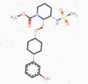 COC(=O)N1CCC[C@H](NS(C)(=O)=O)[C@@H]1CO[C@H]1CC[C@@H](c2cccc(O)c2)CC1